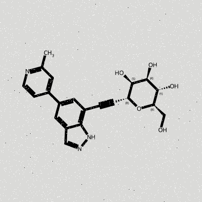 Cc1cc(-c2cc(C#C[C@H]3O[C@H](CO)[C@@H](O)[C@H](O)[C@@H]3O)c3[nH]ncc3c2)ccn1